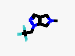 CN1Cc2cnn(CC(F)(F)F)c2C1